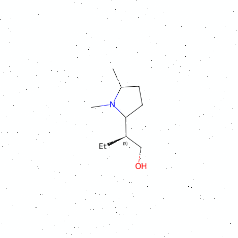 CC[C@H](CO)C1CCC(C)N1C